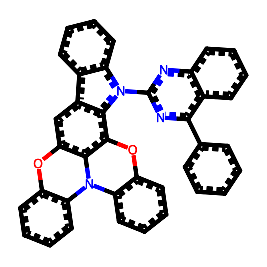 c1ccc(-c2nc(-n3c4ccccc4c4cc5c6c(c43)Oc3ccccc3N6c3ccccc3O5)nc3ccccc23)cc1